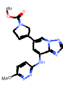 COc1ccc(Nc2cc(C3=CCN(C(=O)OC(C)(C)C)C3)cn3ncnc23)nn1